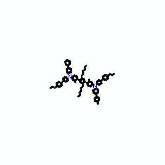 CCCCCCc1cc(-c2ccc(N(c3ccc(-c4ccc(C)cc4)cc3)c3ccc(-c4ccc(CCC)cc4)cc3)cc2C)c(CCCCCC)cc1-c1ccc(N(c2ccc(-c3ccccc3)cc2)c2ccc(-c3ccc(CCC)cc3)cc2)cc1C